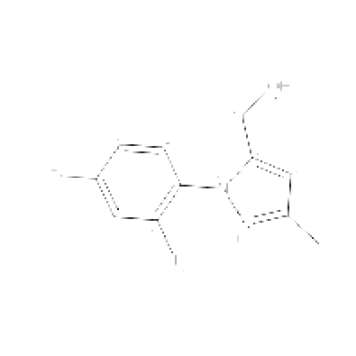 Cc1cc(CO)n(-c2ccc(F)cc2I)n1